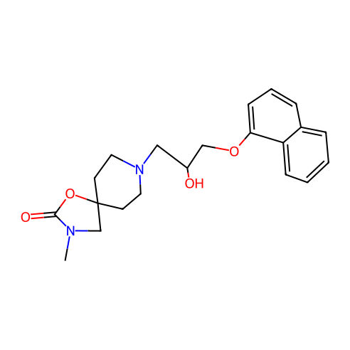 CN1CC2(CCN(CC(O)COc3cccc4ccccc34)CC2)OC1=O